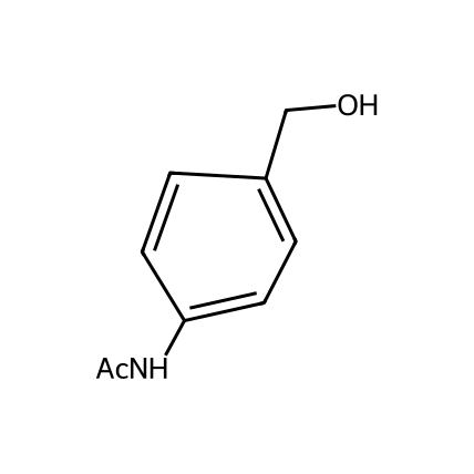 [CH2]C(=O)Nc1ccc(CO)cc1